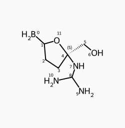 BC1CC[C@](CO)(NC(N)N)O1